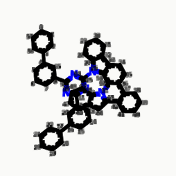 c1ccc(-c2cccc(-c3nc(-c4cccc(-c5ccccc5)c4)nc(-n4c5ccccc5c5ccc6c7ccccc7c7cc8ccccc8n7c6c54)n3)c2)cc1